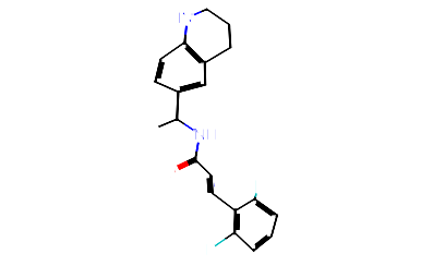 CC(NC(=O)/C=C/c1c(F)cccc1F)c1ccc2c(c1)CCCN2